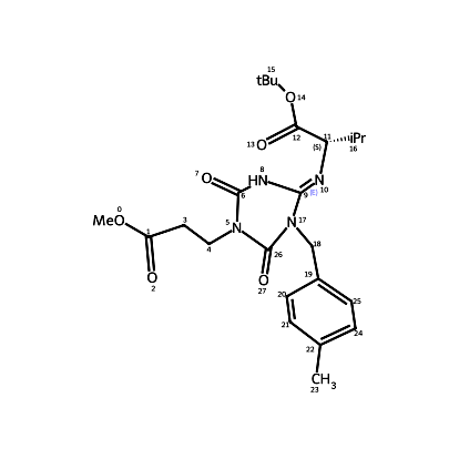 COC(=O)CCn1c(=O)[nH]/c(=N\[C@H](C(=O)OC(C)(C)C)C(C)C)n(Cc2ccc(C)cc2)c1=O